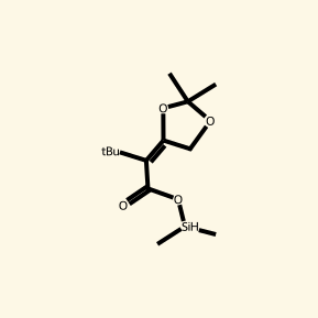 C[SiH](C)OC(=O)C(=C1COC(C)(C)O1)C(C)(C)C